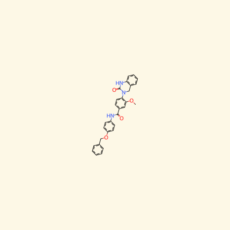 COc1cc(C(=O)Nc2ccc(OCc3ccccc3)cc2)ccc1N1Cc2ccccc2NC1=O